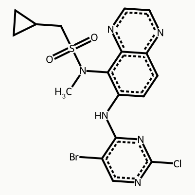 CN(c1c(Nc2nc(Cl)ncc2Br)ccc2nccnc12)S(=O)(=O)CC1CC1